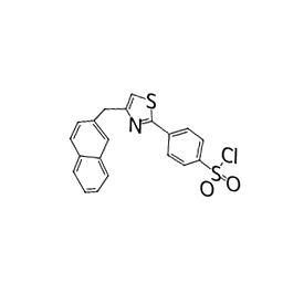 O=S(=O)(Cl)c1ccc(-c2nc(Cc3ccc4ccccc4c3)cs2)cc1